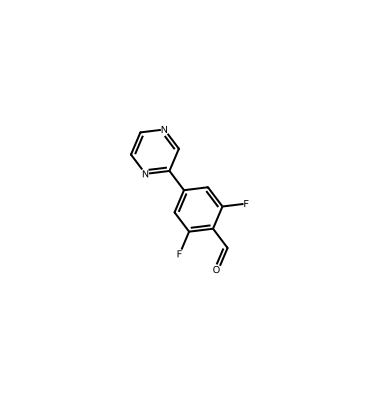 O=Cc1c(F)cc(-c2cnccn2)cc1F